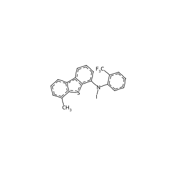 Cc1cccc2c1sc1c(N(I)c3ccccc3C(F)(F)F)cccc12